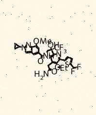 CCOc1c(CC(N)=O)cc([C@@](O)(CNC(=O)c2cc(OC)c3nn(C4CC4)cc3c2)C(F)(F)F)nc1-c1ccc(C(F)F)s1